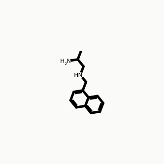 CC(N)CNCc1cccc2ccccc12